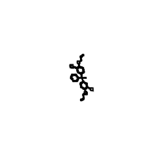 C=CCOc1ccc(C(C)(c2ccccc2)c2ccc(OCC=C)c(Cl)c2)cc1Cl